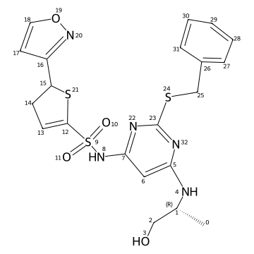 C[C@H](CO)Nc1cc(NS(=O)(=O)C2=CCC(c3ccon3)S2)nc(SCc2ccccc2)n1